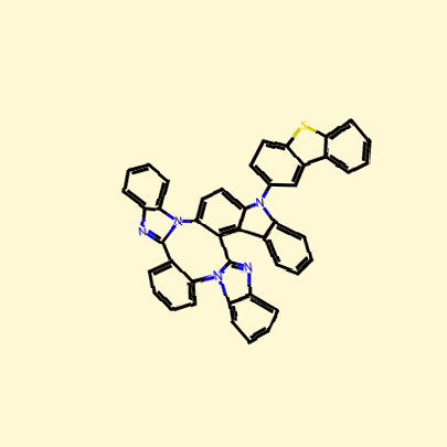 c1ccc2c(c1)nc1c3ccccc3n3c4ccccc4nc3c3c4c5ccccc5n(-c5ccc6sc7ccccc7c6c5)c4ccc3n21